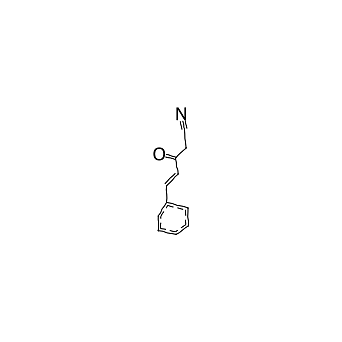 N#CCC(=O)C=Cc1ccccc1